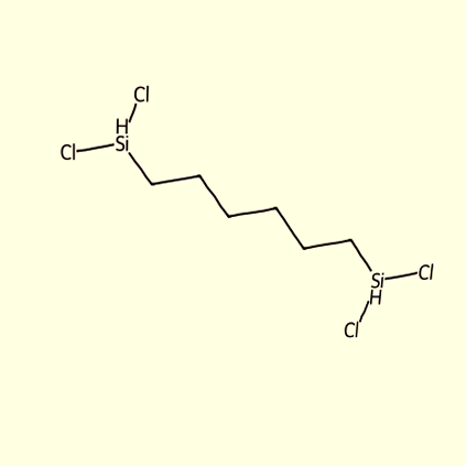 Cl[SiH](Cl)CCCCCC[SiH](Cl)Cl